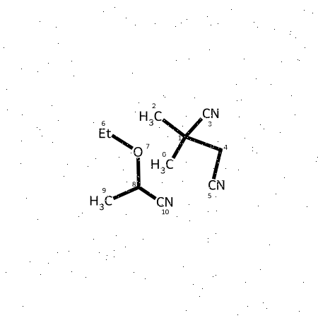 CC(C)(C#N)CC#N.CCOC(C)C#N